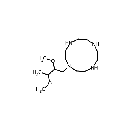 COC(C)C(CN1CCNCCNCCNCC1)OC